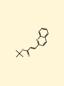 CC(C)(C)OC(=O)C=Cc1ccc2ccccc2n1